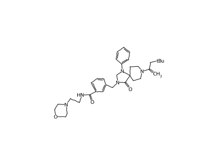 C=C(CC(C)(C)C)N1CCC2(CC1)C(=O)N(Cc1cccc(C(=O)NCCN3CCOCC3)c1)CN2c1ccccc1